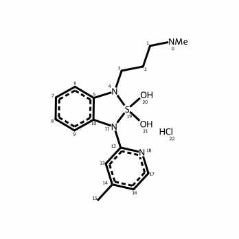 CNCCCN1c2ccccc2N(c2cc(C)ccn2)S1(O)O.Cl